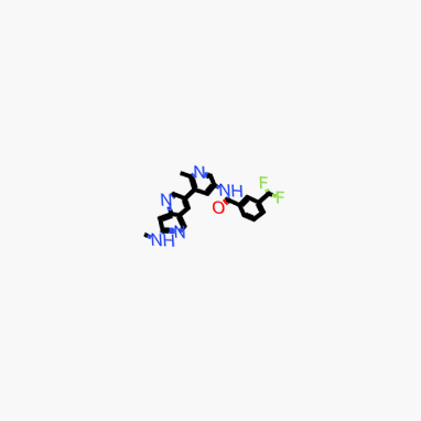 CNc1cc2ncc(-c3cc(NC(=O)c4cccc(C(F)F)c4)cnc3C)cc2cn1